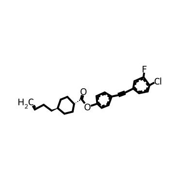 C=CCC[C@H]1CC[C@H](C(=O)Oc2ccc(C#Cc3ccc(Cl)c(F)c3)cc2)CC1